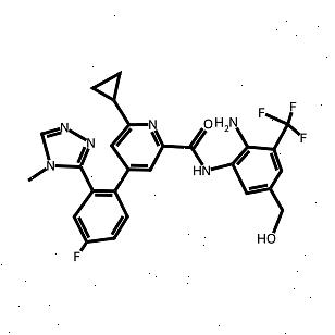 Cn1cnnc1-c1cc(F)ccc1-c1cc(C(=O)Nc2cc(CO)cc(C(F)(F)F)c2N)nc(C2CC2)c1